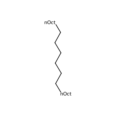 [CH]CCCCCCCCCCCCCCCCCCCCC